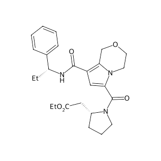 CCOC(=O)C[C@H]1CCCN1C(=O)c1cc(C(=O)N[C@H](CC)c2ccccc2)c2n1CCOC2